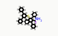 NC1=C(c2c(CI)c(-c3ccccc3)c3c(c2Sc2cc(-c4ccccc4)cc(-c4ccccc4)c2)=CCCC=3)C=CCC1